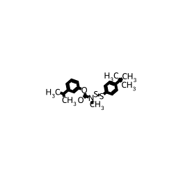 CC(C)c1cccc(OC(=O)N(C)SSc2ccc(C(C)(C)C)cc2)c1